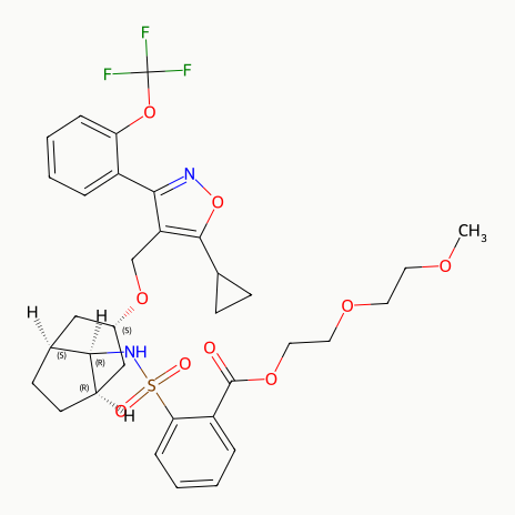 COCCOCCOC(=O)c1ccccc1S(=O)(=O)N[C@H]1[C@@H]2CC[C@H]1C[C@H](OCc1c(-c3ccccc3OC(F)(F)F)noc1C1CC1)C2